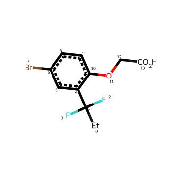 CCC(F)(F)c1cc(Br)ccc1OCC(=O)O